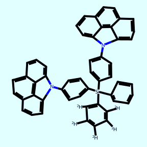 [2H]c1c([2H])c([2H])c([Si](c2ccccc2)(c2ccc(-n3c4cccc5ccc6cccc3c6c54)cc2)c2ccc(-n3c4cccc5ccc6cccc3c6c54)cc2)c([2H])c1[2H]